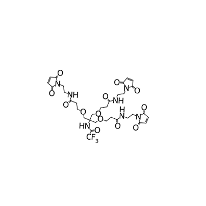 O=C(CCOCC(COCCC(=O)NCCN1C(=O)C=CC1=O)(COCCC(=O)NCCN1C(=O)C=CC1=O)NC(=O)C(F)(F)F)NCCN1C(=O)C=CC1=O